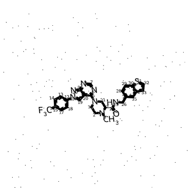 CN1CCN(c2ncnc3nn(-c4ccc(C(F)(F)F)cc4)cc23)C[C@@H]1C(=O)NCc1ccc2sccc2c1